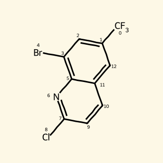 FC(F)(F)c1cc(Br)c2nc(Cl)ccc2c1